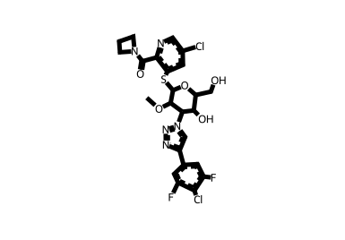 COC1C(Sc2cc(Cl)cnc2C(=O)N2CCC2)OC(CO)C(O)C1n1cc(-c2cc(F)c(Cl)c(F)c2)nn1